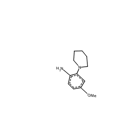 COc1ccc(N)c(N2CCCCC2)c1